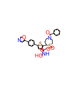 O=C(C[C@]1(c2ccc(-c3ccc(-c4cnco4)cc3)s2)CCN(C(=O)c2ccccc2)CCS1(=O)=O)NO